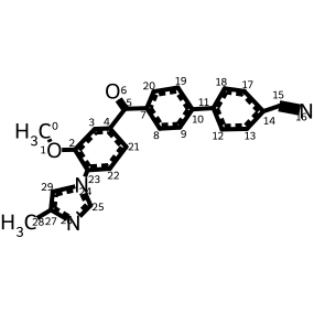 COc1cc(C(=O)c2ccc(-c3ccc(C#N)cc3)cc2)ccc1-n1cnc(C)c1